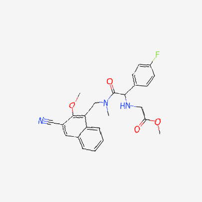 COC(=O)CNC(C(=O)N(C)Cc1c(OC)c(C#N)cc2ccccc12)c1ccc(F)cc1